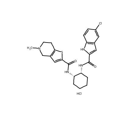 CN1CCc2sc(C(=O)N[C@H]3CCCC[C@H]3NC(=O)c3cc4cc(Cl)ccc4[nH]3)cc2C1.Cl